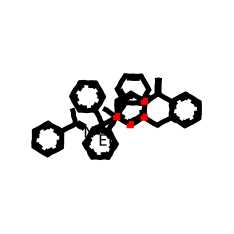 C=C/C(=C\C(C)(C1=CC=CCC1)c1ccccc1)Cc1ccccc1C(=C)c1ccc(C(CC)(/N=C(\C)c2ccccc2)c2ccccc2)cc1